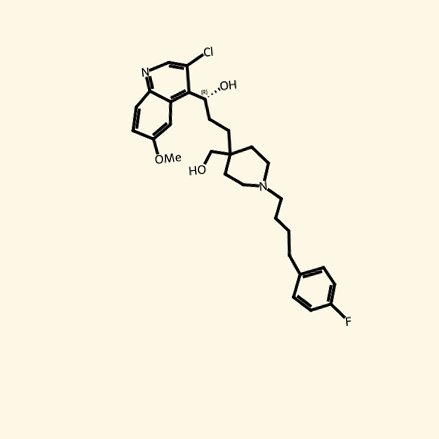 COc1ccc2ncc(Cl)c([C@H](O)CCC3(CO)CCN(CCCCc4ccc(F)cc4)CC3)c2c1